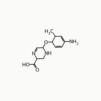 CC1C=C(N)C=CC1OC1C=NC(C(=O)O)CN1